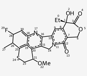 CC[C@@]1(O)C(=O)OCc2c1cc1n(c2=O)Cc2c-1nc1c3c2C(OC)CSC=3C(C)C(F)C=1